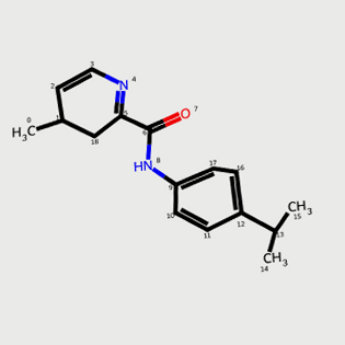 CC1C=CN=C(C(=O)Nc2ccc(C(C)C)cc2)C1